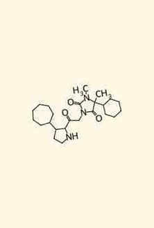 CN1C(=O)N(CC(=O)C2NCCC2C2CCCCCC2)C(=O)C1(C)C1CCCCC1